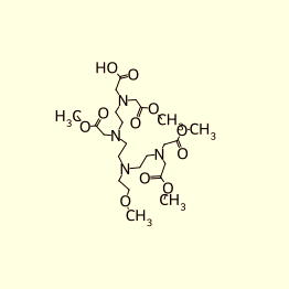 COCCN(CCN(CCN(CC(=O)O)CC(=O)OC)CC(=O)OC)CCN(CC(=O)OC)CC(=O)OC